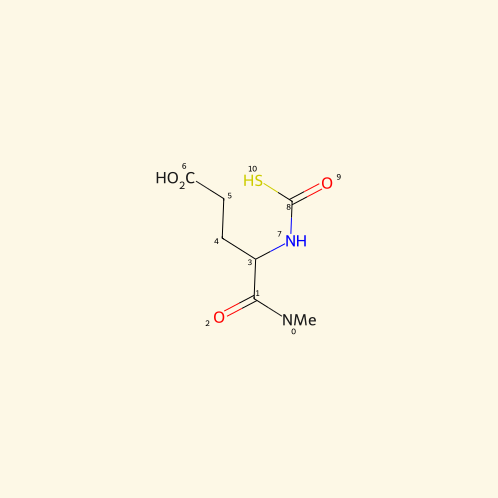 CNC(=O)C(CCC(=O)O)NC(=O)S